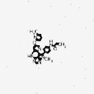 C=CC(=O)Nc1ccc(-c2c3c4c(ncnc4n2C)NCc2cc(Oc4cccc(C)n4)cnc2-3)cc1